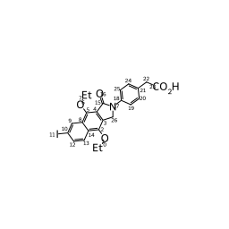 CCOc1c2c(c(OCC)c3cc(I)ccc13)C(=O)N(c1ccc(CC(=O)O)cc1)C2